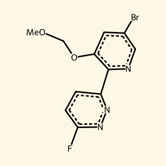 COCOc1cc(Br)cnc1-c1ccc(F)nn1